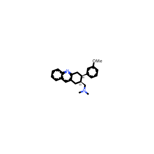 COc1cccc([C@@H]2Cc3nc4ccccc4cc3C[C@@H]2CN(C)C)c1